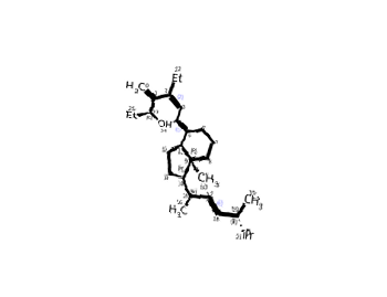 C=C(/C(=C\C=C1/CCC[C@@]2(C)C1CC[C@@H]2[C@H](C)/C=C/[C@H](C)C(C)C)CC)[C@@H](O)CC